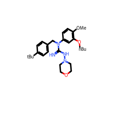 CCCCOc1cc(N(Cc2ccc(C(C)(C)C)cc2)C(=N)NN2CCOCC2)ccc1OC